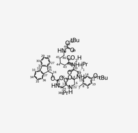 CC(C)C[C@H](NC(=O)[C@H](Cc1ccc(OC(C)(C)C)cc1)NC(=O)[C@@H](NC(=O)OCC1c2ccccc2-c2ccccc21)C(C)C)C(=O)N[C@@H](CCCCNC(=O)OC(C)(C)C)C(=O)O